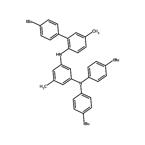 Cc1cc(Nc2ccc(C)cc2-c2ccc(C(C)(C)C)cc2)cc(N(c2ccc(C(C)(C)C)cc2)c2ccc(C(C)(C)C)cc2)c1